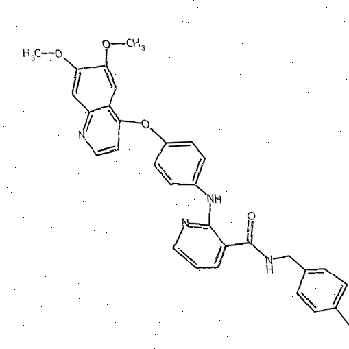 COc1cc2nccc(Oc3ccc(Nc4ncccc4C(=O)NCc4ccc(F)cc4)cc3)c2cc1OC